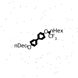 CCCCCCCCCCOc1ccc(-c2ccc(OC(CCCCCC)C(F)(F)F)cc2)cc1